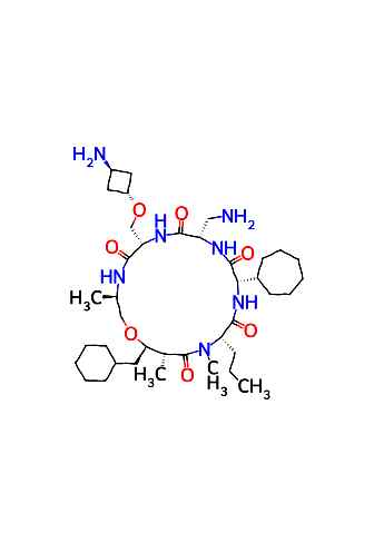 CCC[C@H]1C(=O)N[C@@H](C2CCCCCC2)C(=O)N[C@@H](CN)C(=O)N[C@@H](CO[C@H]2C[C@H](N)C2)C(=O)N[C@H](C)CO[C@H](CC2CCCCC2)[C@@H](C)C(=O)N1C